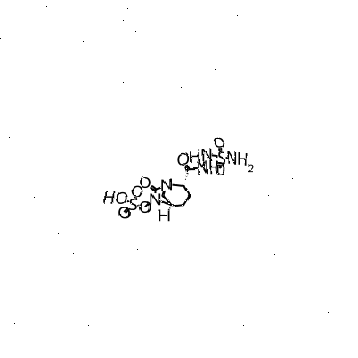 NS(=O)(=O)NNC(=O)[C@@H]1CC[C@@H]2CN1C(=O)N2OS(=O)(=O)O